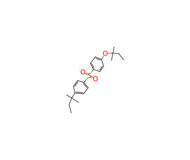 CCC(C)(C)Oc1ccc(S(=O)(=O)c2ccc(C(C)(C)CC)cc2)cc1